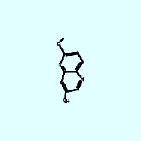 COc1ccc2ncc([NH])cc2n1